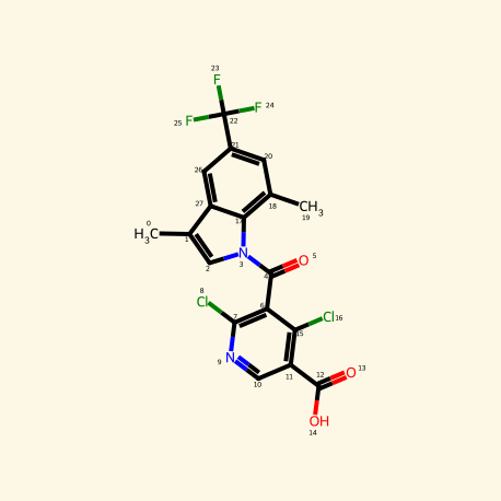 Cc1cn(C(=O)c2c(Cl)ncc(C(=O)O)c2Cl)c2c(C)cc(C(F)(F)F)cc12